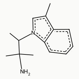 Cc1cn(C(C)C(C)(C)N)c2ccccc12